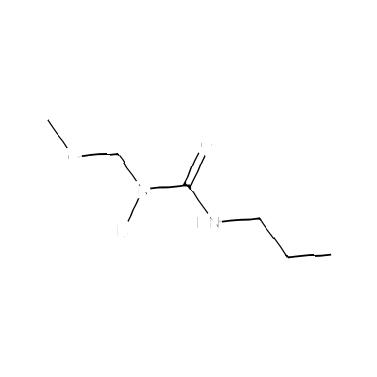 CCCNC(=O)N(S)COC